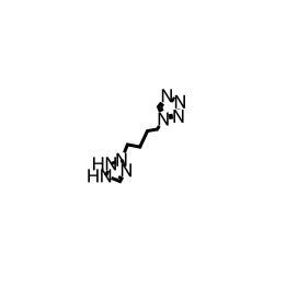 C1=NN(CCCCn2cnnn2)NN1